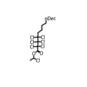 CCCCCCCCCCCCCCC(Cl)(Cl)C(Cl)(Cl)C(Cl)(Cl)C(=O)OC(C)Cl